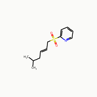 CC(C)CC=CCS(=O)(=O)c1ccccn1